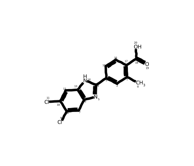 Cc1cc(-c2nc3cc(Cl)c(Cl)cc3[nH]2)ccc1C(=O)O